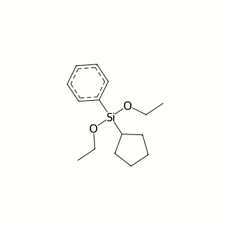 CCO[Si](OCC)(c1ccccc1)C1CCCC1